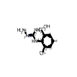 Cl.N/N=C(\N)Nc1c(Cl)cccc1Cl